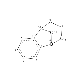 c1ccc2c(c1)B1OCCC2O1